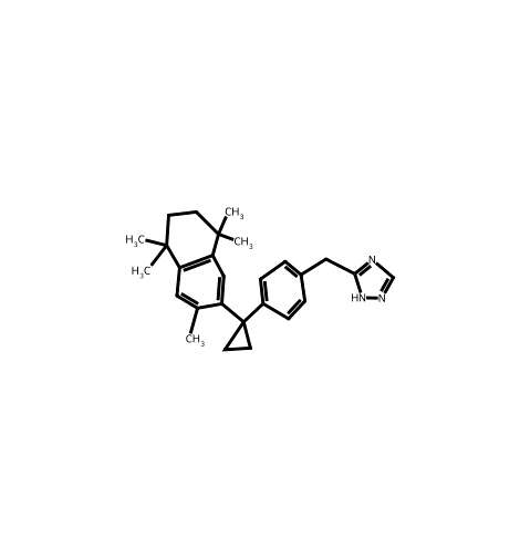 Cc1cc2c(cc1C1(c3ccc(Cc4ncn[nH]4)cc3)CC1)C(C)(C)CCC2(C)C